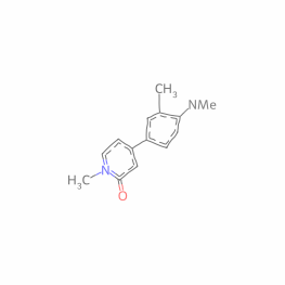 CNc1ccc(-c2ccn(C)c(=O)c2)cc1C